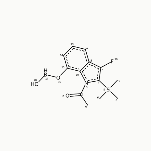 CC(=O)n1c([Si](C)(C)C)c(F)c2cccc(OBO)c21